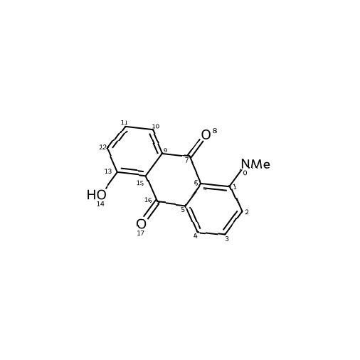 CNc1cccc2c1C(=O)c1cccc(O)c1C2=O